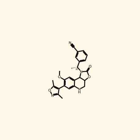 COc1cc2c(cc1-c1c(C)noc1C)NCC1OC(=O)N([C@H](C)c3cccc(C#N)c3)C21